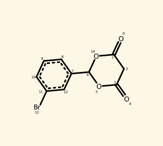 O=C1CC(=O)OC(c2cccc(Br)c2)O1